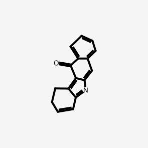 O=C1C2=C3CCC=CC3=NC2=Cc2ccccc21